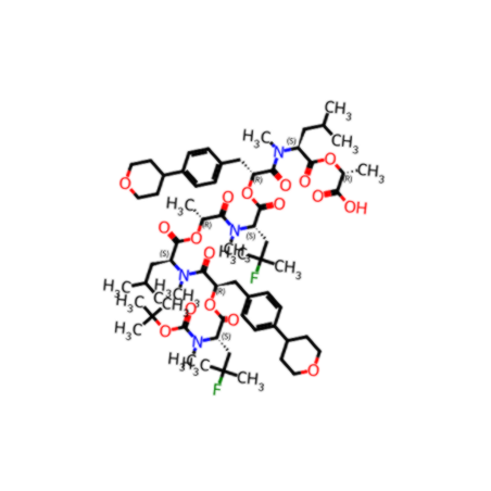 CC(C)C[C@@H](C(=O)O[C@H](C)C(=O)N(C)[C@@H](CC(C)(C)F)C(=O)O[C@H](Cc1ccc(C2CCOCC2)cc1)C(=O)N(C)[C@@H](CC(C)C)C(=O)O[C@H](C)C(=O)O)N(C)C(=O)[C@@H](Cc1ccc(C2CCOCC2)cc1)OC(=O)[C@H](CC(C)(C)F)N(C)C(=O)OC(C)(C)C